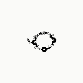 O=C1NCc2ccc(cc2)CNC(=O)c2cc(N=C=S)cc(n2)C(=O)NCc2ccc(cc2)CNC(=O)c2cccc1n2